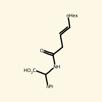 CCCCCCC=CCC(=O)NC(CCC)C(=O)O